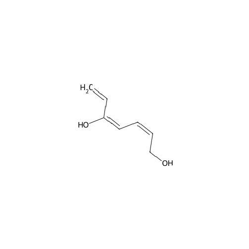 C=C/C(O)=C\C=C/CO